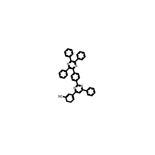 N#CC1=CC(c2cc(-c3ccccc3)nc(-c3ccc(-c4nc(-c5ccccc5)c(-c5ccccc5)nc4-c4ccccc4)cc3)n2)=CCC1